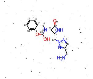 NCc1cnn(C[C@H]2NC(=O)[C@H]2N(Cc2ccccc2)C(=O)O)n1